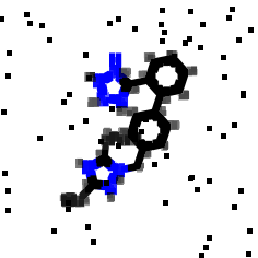 CCCCCc1nc(C(C)(C)C)nn1Cc1ccc(-c2ccccc2-c2nnn[nH]2)cc1